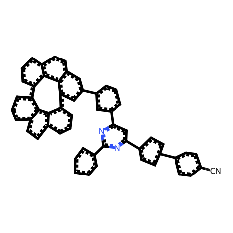 N#Cc1ccc(-c2ccc(-c3cc(-c4cccc(-c5cc6ccc7cccc8c9cccc%10ccc%11cccc(c(c5)c6c78)c%11c%109)c4)nc(-c4ccccc4)n3)cc2)cc1